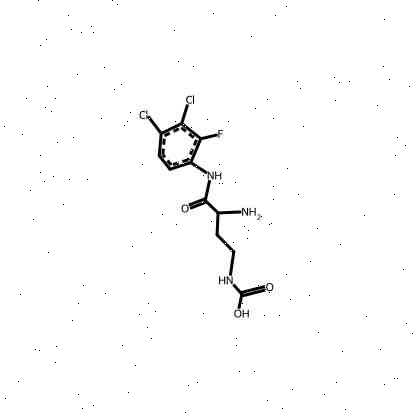 NC(CCNC(=O)O)C(=O)Nc1ccc(Cl)c(Cl)c1F